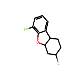 Fc1cccc2c1OC1CC(Cl)CCC21